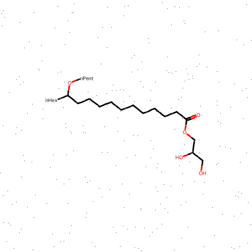 CCCCCCC(CCCCCCCCCCC(=O)OCC(O)CO)OCCCCC